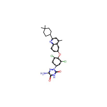 Cc1cc(C2CCC(C)(C)CC2)nc2ccc(Oc3c(Cl)cc(-n4nc(N)c(=O)[nH]c4=O)cc3Cl)cc12